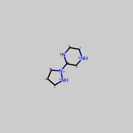 C1CNN(C2CNCC[N]2)C1